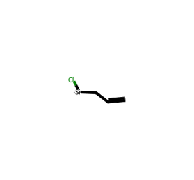 C=CC[Si]Cl